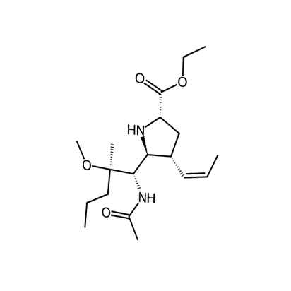 C/C=C\[C@H]1C[C@@H](C(=O)OCC)N[C@@H]1[C@H](NC(C)=O)[C@@](C)(CCC)OC